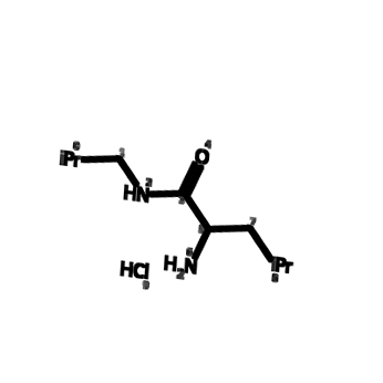 CC(C)CNC(=O)C(N)CC(C)C.Cl